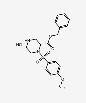 Cl.O=C(OCc1ccccc1)[C@H]1CNCCN1S(=O)(=O)c1ccc(OC(F)(F)F)cc1